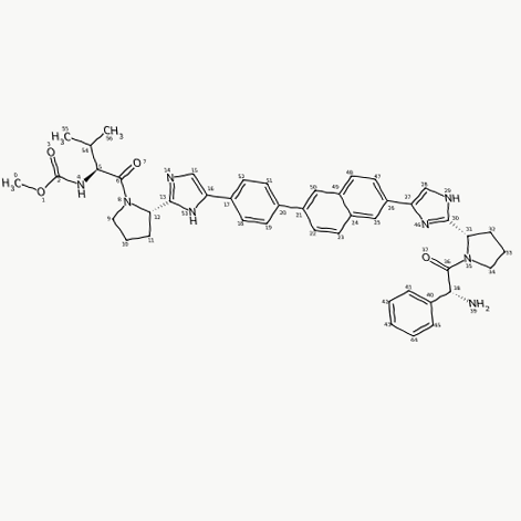 COC(=O)N[C@H](C(=O)N1CCC[C@H]1c1ncc(-c2ccc(-c3ccc4cc(-c5c[nH]c([C@@H]6CCCN6C(=O)[C@H](N)c6ccccc6)n5)ccc4c3)cc2)[nH]1)C(C)C